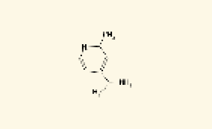 Cc1cc([C@@H](C)N)ccn1